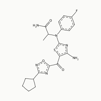 CC(C(N)=O)N(c1ccc(F)cc1)c1nc(N)c(C(=O)c2nc(C3CCCC3)no2)s1